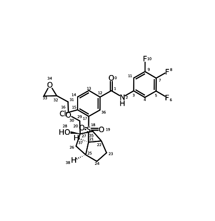 O=C(Nc1cc(F)c(F)c(F)c1)c1ccc(Cl)c(S(=O)(=O)[C@H]2C3CC[C@H]2C[C@](O)(COCC2CO2)C3)c1